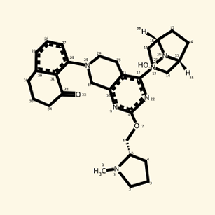 CN1CCC[C@H]1COc1nc2c(c(N3C[C@H]4CC[C@@H](C3)N4C(=O)O)n1)CCN(c1cccc3c1C(=O)CCC3)C2